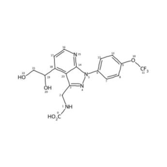 O=C(O)NCc1nn(-c2ccc(OC(F)(F)F)cc2)c2nccc(C(O)CO)c12